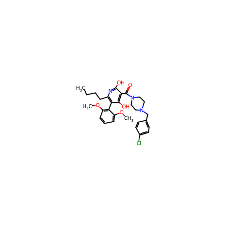 CCCCc1nc(O)c(C(=O)N2CCN(Cc3ccc(Cl)cc3)CC2)c(O)c1-c1c(OC)cccc1OC